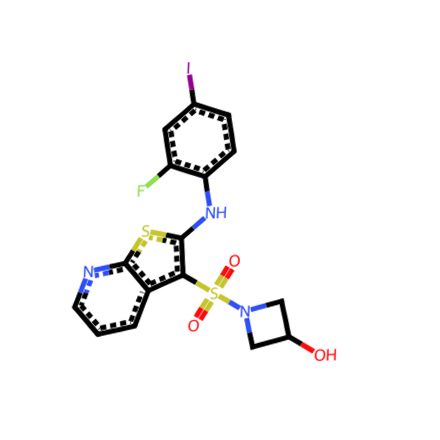 O=S(=O)(c1c(Nc2ccc(I)cc2F)sc2ncccc12)N1CC(O)C1